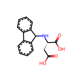 O=C(O)C[C@H](NC1c2ccccc2-c2ccccc21)C(=O)O